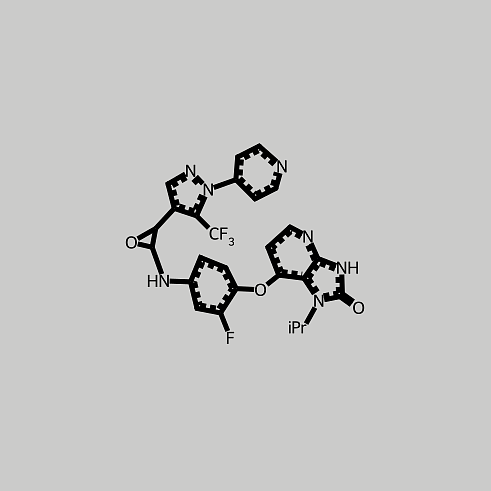 CC(C)n1c(=O)[nH]c2nccc(Oc3ccc(NC4OC4c4cnn(-c5ccncc5)c4C(F)(F)F)cc3F)c21